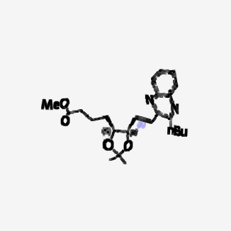 CCCCc1nc2ccccc2nc1/C=C/[C@H]1OC(C)(C)O[C@H]1CCCC(=O)OC